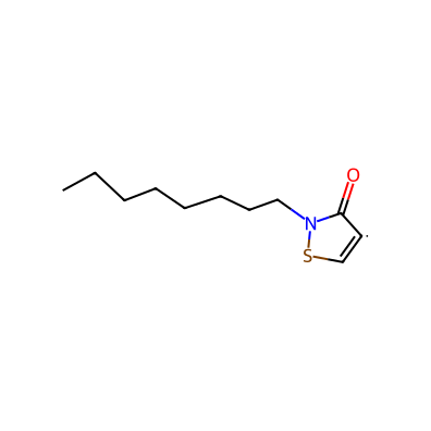 CCCCCCCCn1sc[c]c1=O